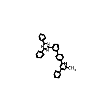 Cc1cc(-c2ccccc2)cc(-c2ccc(-c3cccc(-c4nc(-c5ccccc5)nc(-c5ccccc5)n4)c3)cc2)n1